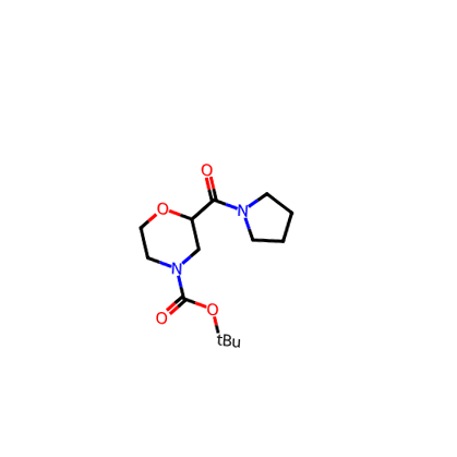 CC(C)(C)OC(=O)N1CCOC(C(=O)N2CCCC2)C1